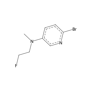 CN(CCF)c1ccc(Br)nc1